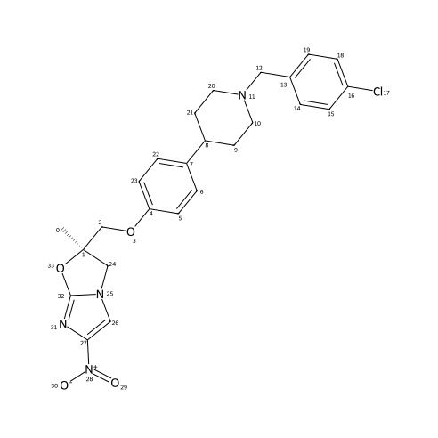 C[C@]1(COc2ccc(C3CCN(Cc4ccc(Cl)cc4)CC3)cc2)Cn2cc([N+](=O)[O-])nc2O1